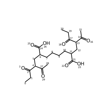 CCC(=O)C(CC(CCCCC(CC(C(C)=O)C(=O)CC)C(=O)O)C(=O)O)C(C)=O